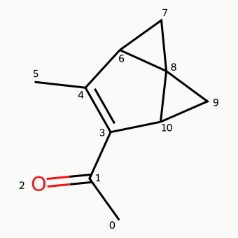 CC(=O)C1=C(C)C2CC23CC13